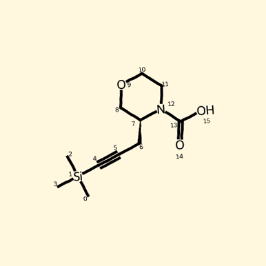 C[Si](C)(C)C#CC[C@H]1COCCN1C(=O)O